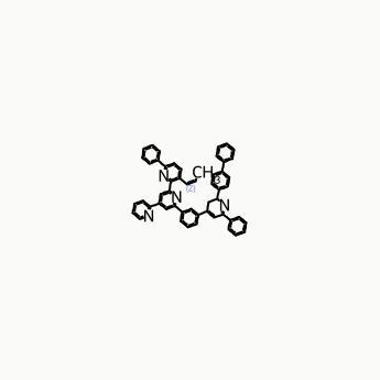 C/C=C\c1ccc(-c2ccccc2)nc1-c1cc(-c2ccccn2)cc(-c2cccc(C3=CC(c4ccccc4)=NC(c4ccc(-c5ccccc5)cc4)C3)c2)n1